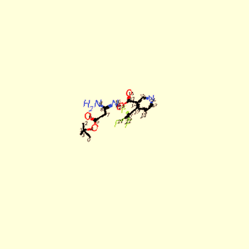 CC(C)(C)OC(=O)C/C(N)=N\OC(=O)c1cnccc1C(F)(F)F